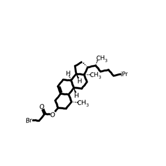 CC(C)CCC[C@@H](C)[C@H]1CC[C@H]2[C@@H]3CC=C4CC(OC(=O)CBr)C[C@@H](C)C4[C@H]3CC[C@]12C